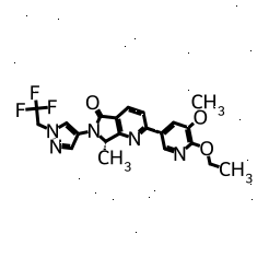 CCOc1ncc(-c2ccc3c(n2)[C@H](C)N(c2cnn(CC(F)(F)F)c2)C3=O)cc1OC